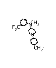 [CH2]c1ccc(N2CCC(N(C)c3cccc(C(F)(F)F)c3)CC2)cc1